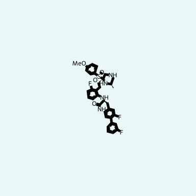 COc1ccc(S(=O)(=O)[C@@]2(CCc3c(F)cccc3N[C@@H](Cc3ccc(-c4cccc(F)c4)c(F)c3)C(N)=O)CNC[C@H](C)N2)cc1